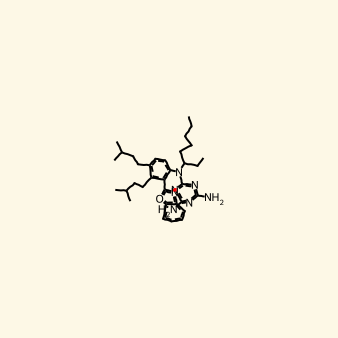 CCCCCC(CC)N(c1nc(N)nc(N)n1)c1ccc(CCC(C)C)c(CCC(C)C)c1-c1nc2ccccc2o1